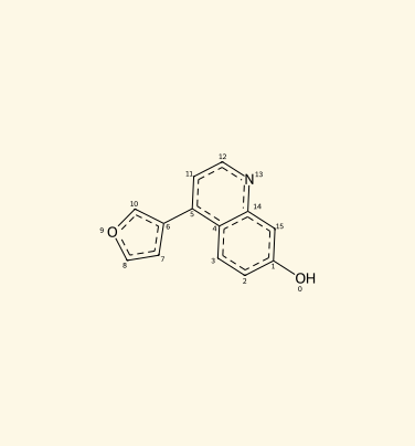 Oc1ccc2c(-c3ccoc3)ccnc2c1